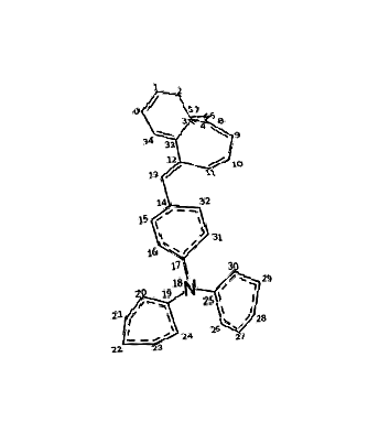 C1=CCC23C=CC=CC2=CC=CC(=Cc2ccc(N(c4ccccc4)c4ccccc4)cc2)C3=C1